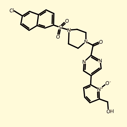 O=C(c1ncc(-c2cccc(CO)[n+]2[O-])cn1)N1CCN(S(=O)(=O)c2ccc3cc(Cl)ccc3c2)CC1